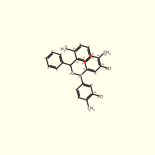 Cc1ccc(B(OC(c2ccccc2)c2ccccc2N)c2ccc(C)c(Cl)c2)cc1Cl